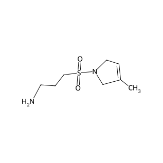 CC1=CCN(S(=O)(=O)CCCN)C1